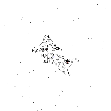 C[C@H]1[C@@H](/C(C[C@H]2O[C@@H]3O[C@]4(C)CC[C@H]5[C@H](C)CC[C@@H]([C@H]2C)[C@@]35OO4)=N\N(N)C(C)(C)C)O[C@@H]2O[C@]3(C)CC[C@H]4[C@H](C)CC[C@@H]1[C@@]24OO3